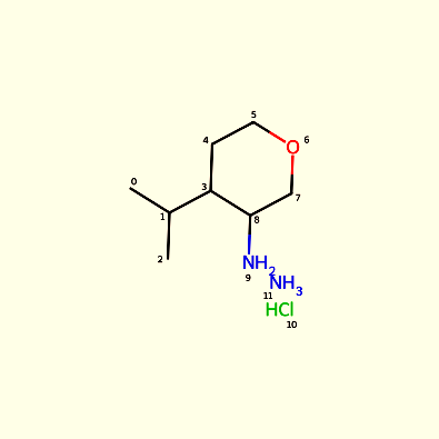 CC(C)C1CCOCC1N.Cl.N